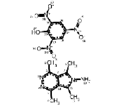 Cc1nnc(C)c2c(C)n(N)c(C)c12.O=[N+]([O-])c1cc([N+](=O)[O-])c(O)c([N+](=O)[O-])c1